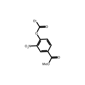 [CH2]CC(=O)Oc1ccc(C(=O)OC)cc1[N+](=O)[O-]